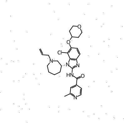 C=CCN1CCCC[C@@H](n2c(NC(=O)c3ccnc(C)c3)nc3ccc(OC4CCOCC4)c(Cl)c32)C1